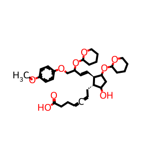 COc1ccc(OCC(/C=C/[C@H]2C(OC3CCCCO3)CC(O)[C@@H]2CC=C=CCCC(=O)O)OC2CCCCO2)cc1